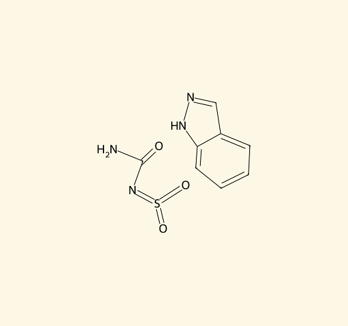 NC(=O)N=S(=O)=O.c1ccc2[nH]ncc2c1